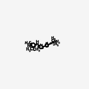 C=C1CC(Nc2nccc(-c3ccc(C#CC(C)(C)N)nc3)n2)CC(C)(C)N1